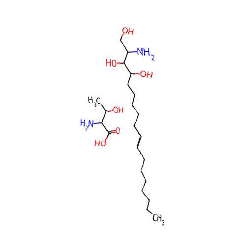 CC(O)C(N)C(=O)O.CCCCCCCCCCCCCCC(O)C(O)C(N)CO